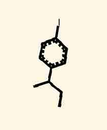 CCC(C)c1ccc(I)cc1